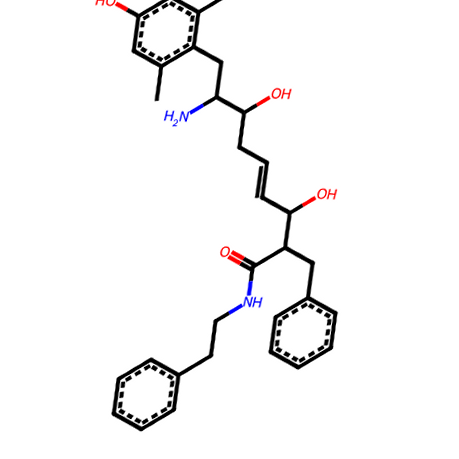 Cc1cc(O)cc(C)c1CC(N)C(O)C/C=C/C(O)C(Cc1ccccc1)C(=O)NCCc1ccccc1